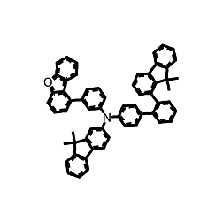 CC1(C)c2ccccc2-c2ccc(N(c3ccc(-c4ccccc4-c4cccc5c4C(C)(C)c4ccccc4-5)cc3)c3cccc(-c4cccc5oc6ccccc6c45)c3)cc21